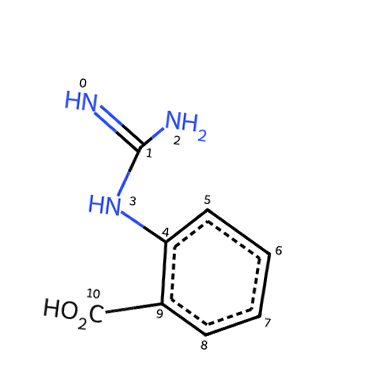 N=C(N)Nc1ccccc1C(=O)O